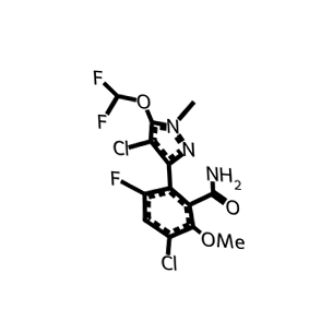 COc1c(Cl)cc(F)c(-c2nn(C)c(OC(F)F)c2Cl)c1C(N)=O